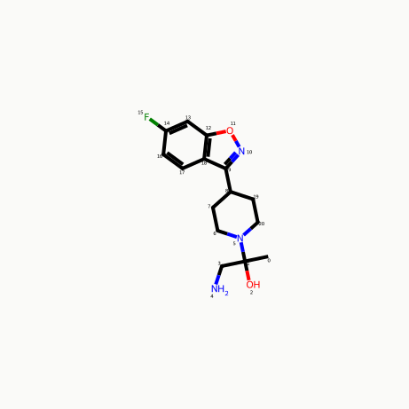 CC(O)(CN)N1CCC(c2noc3cc(F)ccc23)CC1